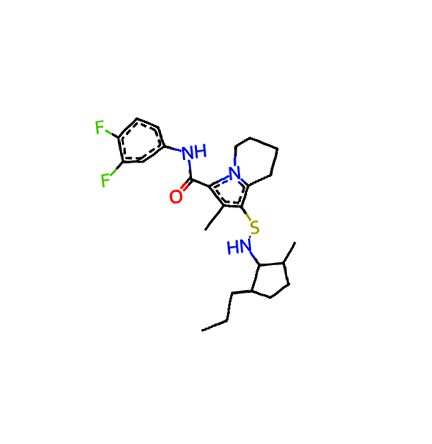 CCCC1CCC(C)C1NSc1c(C)c(C(=O)Nc2ccc(F)c(F)c2)n2c1CCCC2